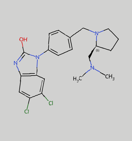 CN(C)C[C@@H]1CCCN1Cc1ccc(-n2c(O)nc3cc(Cl)c(Cl)cc32)cc1